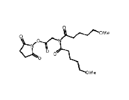 COCCCCC(=O)N(CC(=O)ON1C(=O)CCC1=O)C(=O)CCCCOC